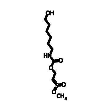 C.O=C(NCCCCCCO)OCC=S(=O)=O